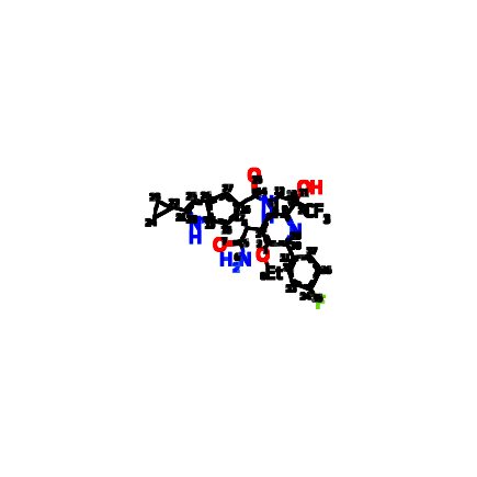 CCOc1c(CC(N)=O)cc([C@@](O)(CNC(=O)c2ccc3[nH]c(C4CC4)cc3c2)C(F)(F)F)nc1-c1ccc(F)cc1